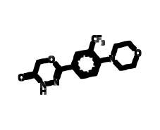 O=C1COC(c2ccc(N3CCOCC3)c(C(F)(F)F)c2)=NN1